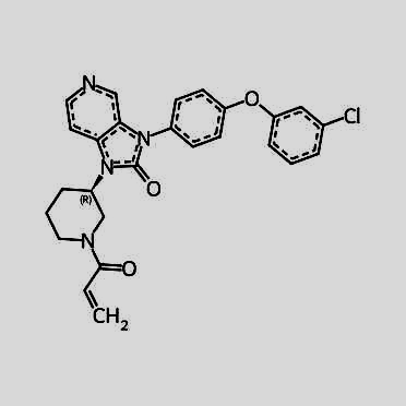 C=CC(=O)N1CCC[C@@H](n2c(=O)n(-c3ccc(Oc4cccc(Cl)c4)cc3)c3cnccc32)C1